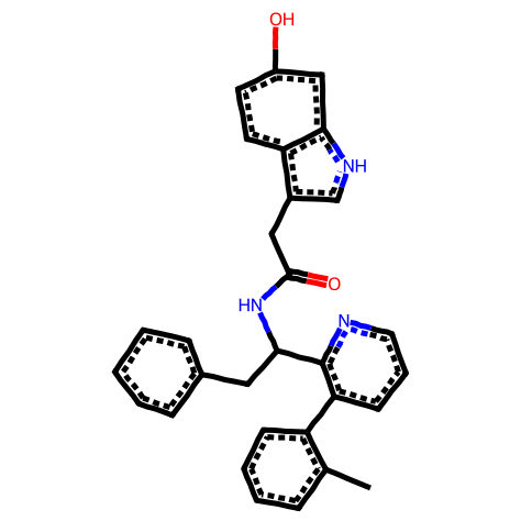 Cc1ccccc1-c1cccnc1C(Cc1ccccc1)NC(=O)Cc1c[nH]c2cc(O)ccc12